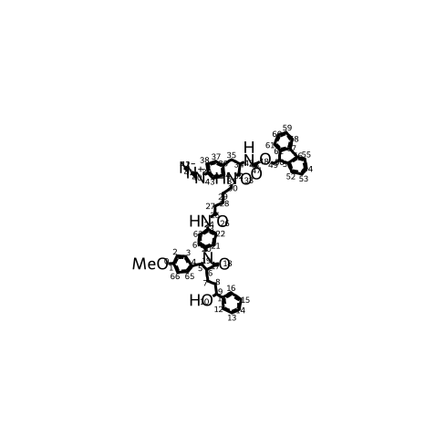 COc1ccc(C2C(CCC(O)c3ccccc3)C(=O)N2c2ccc(NC(=O)CCCCNC(=O)C(Cc3ccc(N=[N+]=[N-])cc3)NC(=O)OCC3c4ccccc4-c4ccccc43)cc2)cc1